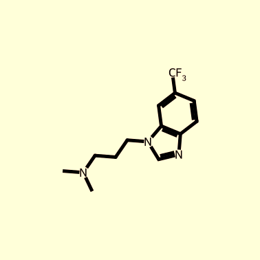 CN(C)CCCn1cnc2ccc(C(F)(F)F)cc21